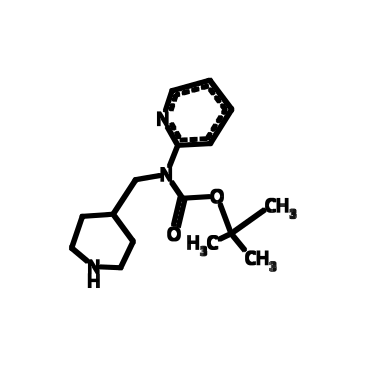 CC(C)(C)OC(=O)N(CC1CCNCC1)c1ccccn1